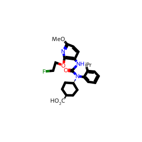 COc1ccc(NC(=O)N(c2ccccc2C(C)C)[C@H]2CC[C@H](C(=O)O)CC2)c(OCCF)n1